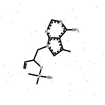 C=CC(Cn1cc(I)c2c(N)ncnc21)O[Si](C)(C)C(C)(C)C